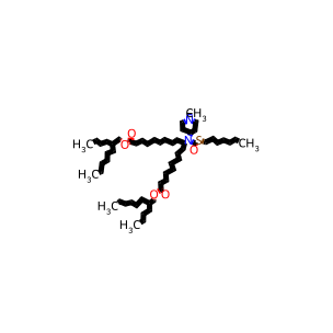 CCCCCCCSC(=O)N(C(CCCCCCCCC(=O)OCC(CCCC)CCCCCC)CCCCCCCCC(=O)OCC(CCCC)CCCCCC)C1CCN(C)CC1